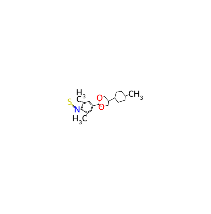 Cc1cc(C2OCC(C3CCC(C)CC3)CO2)cc(C)c1N=C=S